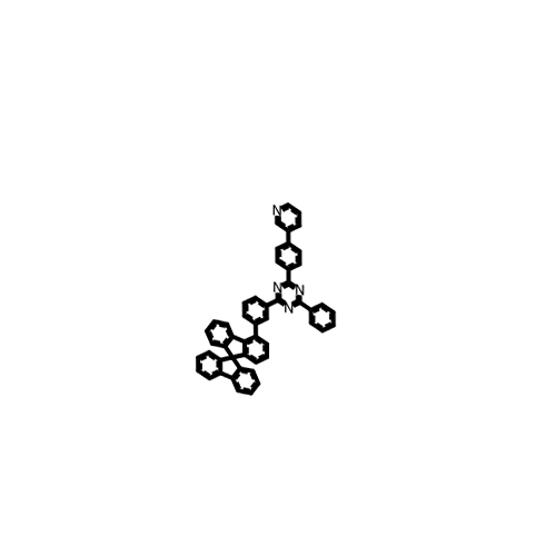 c1ccc(-c2nc(-c3ccc(-c4cccnc4)cc3)nc(-c3cccc(-c4cccc5c4-c4ccccc4C54c5ccccc5-c5ccccc54)c3)n2)cc1